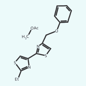 CCc1nc(-c2nc(COc3ccccc3)cs2)cs1.COC(C)=O